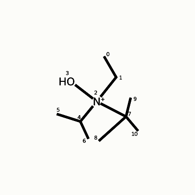 CC[N+](O)(C(C)C)C(C)(C)C